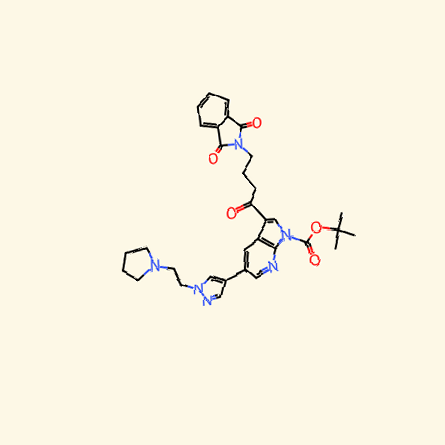 CC(C)(C)OC(=O)n1cc(C(=O)CCCN2C(=O)c3ccccc3C2=O)c2cc(-c3cnn(CCN4CCCC4)c3)cnc21